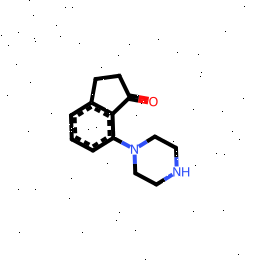 O=C1CCc2cccc(N3CCNCC3)c21